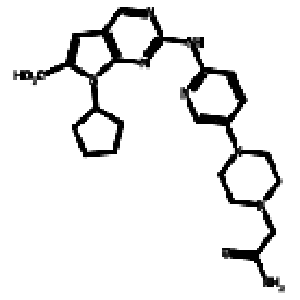 NC(=O)CN1CCN(c2ccc(Nc3ncc4cc(C(=O)O)n(C5CCCC5)c4n3)nc2)CC1